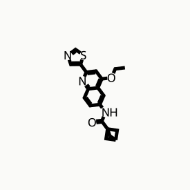 CCOc1cc(-c2cncs2)nc2ccc(NC(=O)C34CC(C3)C4)cc12